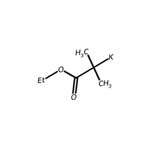 CCOC(=O)[C](C)(C)[K]